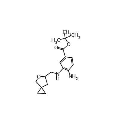 CC(C)(C)OC(=O)c1ccc(N)c(NCC2CC3(CC3)CO2)c1